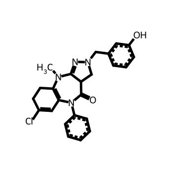 CN1C2=NN(Cc3cccc(O)c3)CC2C(=O)N(c2ccccc2)C2=C1CCC(Cl)=C2